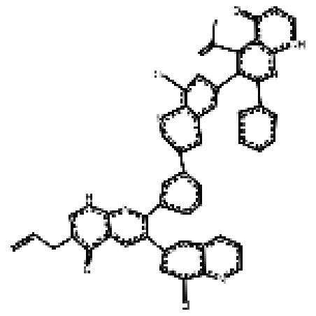 C=CCc1c[nH]c2nc(-c3cccc(-c4cnc5c(Cl)cc(-c6c(-c7ccccc7)nc7[nH]ccc(=O)c7c6C(=C)C)cc5c4)c3)c(-c3cc(Cl)c4ncccc4c3)cc2c1=O